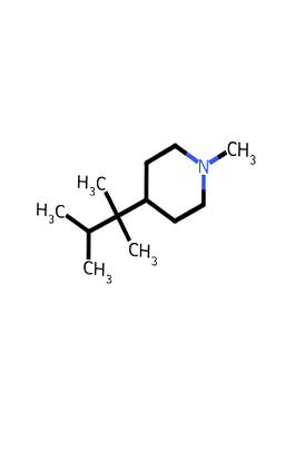 CC(C)C(C)(C)C1CCN(C)CC1